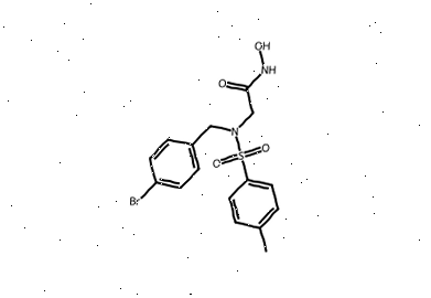 Cc1ccc(S(=O)(=O)N(CC(=O)NO)Cc2ccc(Br)cc2)cc1